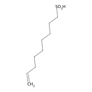 C=CCCCCCCCS(=O)(=O)O